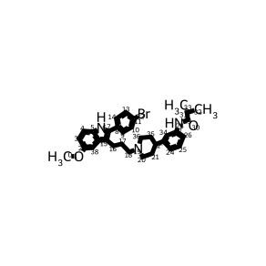 COc1ccc2[nH]c(-c3ccc(Br)cc3)c(CCCN3CCC(c4cccc(NC(=O)C(C)C)c4)CC3)c2c1